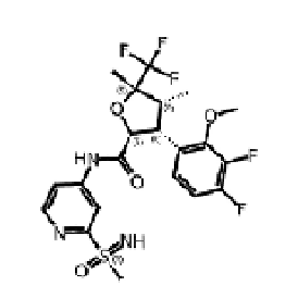 COc1c([C@@H]2[C@@H](C(=O)Nc3ccnc([S@](C)(=N)=O)c3)O[C@](C)(C(F)(F)F)[C@@H]2C)ccc(F)c1F